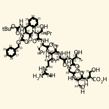 CC(C)C[C@H](NC(=O)[C@@H](NC(=O)[C@@H](NC(=O)OCc1ccccc1)[C@H](NC(=O)OC(C)(C)C)c1ccccc1)[C@H](O)C(C)C)C(=O)N[C@H](CCCNC(=N)N)C(=O)N[C@H](C(=O)N[C@H](C(=O)NCC(=O)N[C@@H](CO)C(=O)N[C@@H](CO)C(=O)O)[C@H](C)O)C(C)C